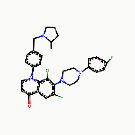 CC1CCCN1Cc1ccc(-n2ccc(=O)c3cc(F)c(N4CCN(c5ccc(F)cc5)CC4)c(Cl)c32)cc1